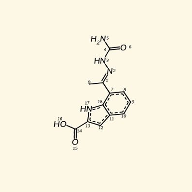 C/C(=N\NC(N)=O)c1cccc2cc(C(=O)O)[nH]c12